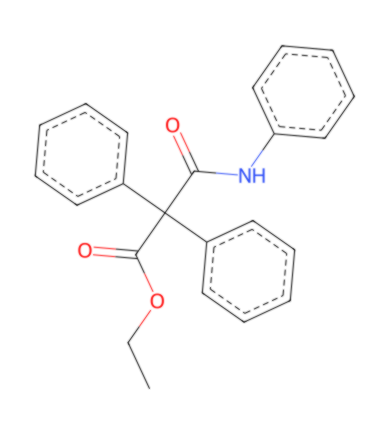 CCOC(=O)C(C(=O)Nc1ccccc1)(c1ccccc1)c1ccccc1